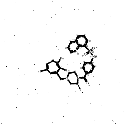 C[C@H]1CN(CC2=CC(I)=CCC(F)=C2F)CCN1C(=O)c1ccc(NS(=O)(=O)c2cccc3cccnc23)cc1